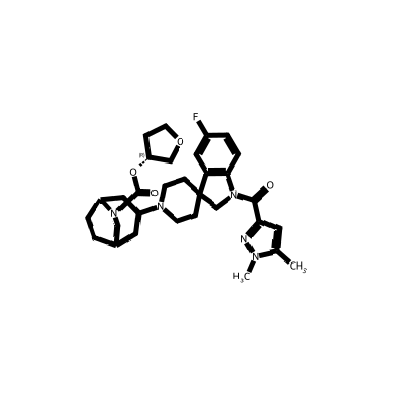 Cc1cc(C(=O)N2CC3(CCN(C4CC5CCC(C4)N(C(=O)O[C@@H]4CCOC4)C5)CC3)c3cc(F)ccc32)nn1C